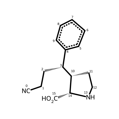 N#CCC[C@H](c1ccccc1)[C@@H]1CCN[C@@H]1C(=O)O